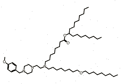 CCCCCCCCCOCCCCCCCCN(CCCCCCCC(=O)OC(CCCCCCCC)CCCCCCCC)CCN1CCN(Cc2ccc(OC)cc2)CC1